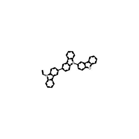 C=Cn1c2ccccc2c2cc(-c3ccc4c(c3)c3ccccc3n4-c3ccc4oc5ccccc5c4c3)ccc21